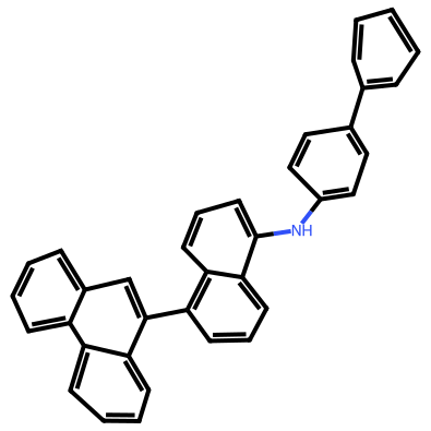 c1ccc(-c2ccc(Nc3cccc4c(-c5cc6ccccc6c6ccccc56)cccc34)cc2)cc1